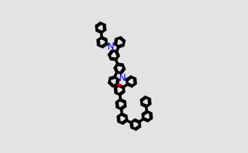 c1ccc(-c2cccc(-c3cccc(-c4cccc(-c5ccc(-c6cccc(-c7ccccc7-n7c8ccccc8c8cc(-c9ccc%10c(c9)c9ccccc9n%10-c9cccc(-c%10ccccc%10)c9)ccc87)c6)cc5)c4)c3)c2)cc1